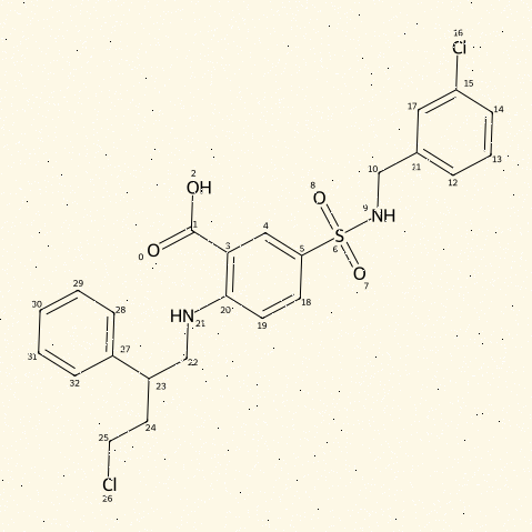 O=C(O)c1cc(S(=O)(=O)NCc2cccc(Cl)c2)ccc1NCC(CCCl)c1ccccc1